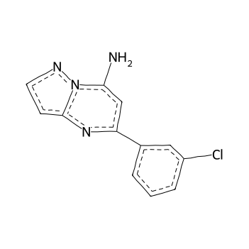 Nc1cc(-c2cccc(Cl)c2)nc2ccnn12